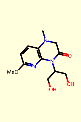 COc1ccc2c(n1)N(C(CO)CO)C(=O)CN2C